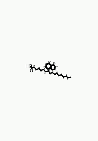 CCCCCCCCCCCCCCCCCC(=O)O.c1ccc2ccccc2c1